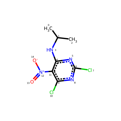 CC(C)Nc1nc(Cl)nc(Cl)c1[N+](=O)[O-]